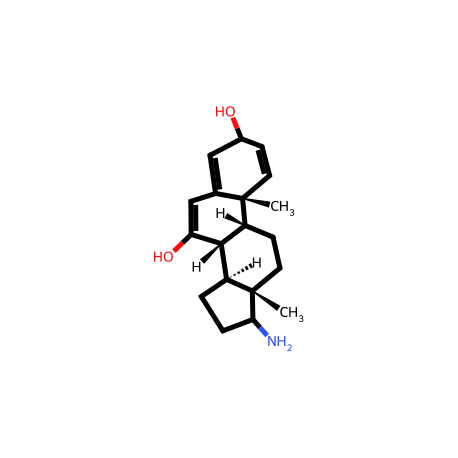 C[C@]12C=CC(O)C=C1C=C(O)[C@@H]1[C@H]2CC[C@]2(C)C(N)CC[C@@H]12